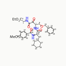 CCOC(=O)CNC(=O)C(=O)C(COCc1ccccc1)NC(=O)C(CC1CCCCC1)NC(=O)c1ccc(OC)cc1